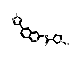 N#CN1CCC(C(=O)Nc2cc3cc(-c4cn[nH]c4)ccc3cn2)C1